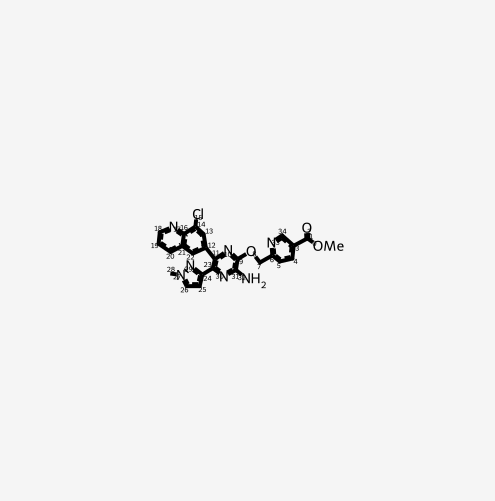 COC(=O)c1ccc(COc2nc(-c3cc(Cl)c4ncccc4c3)c(-c3ccn(C)n3)nc2N)nc1